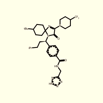 CC(C)CC[C@H](c1ccc(C(=O)NCc2nn[nH]n2)cc1)N1C(=O)C(N2CCC(C(F)(F)F)CC2)=NC12CCC(C(C)(C)C)CC2